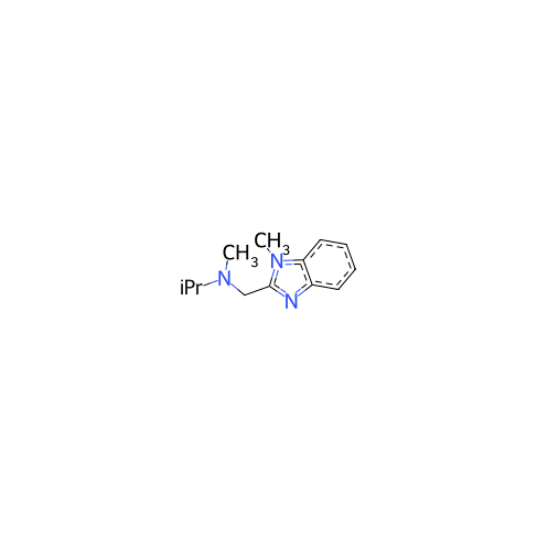 CC(C)N(C)Cc1nc2ccccc2n1C